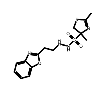 CC1=NC(C)(S(=O)(=O)NNCCc2nc3ccccc3o2)CS1